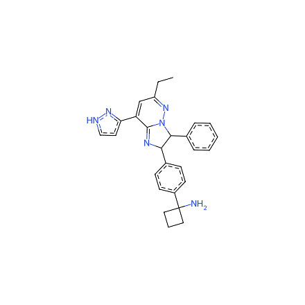 CCC1=NN2C(=NC(c3ccc(C4(N)CCC4)cc3)C2c2ccccc2)C(c2cc[nH]n2)=C1